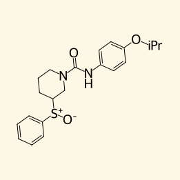 CC(C)Oc1ccc(NC(=O)N2CCCC([S+]([O-])c3ccccc3)C2)cc1